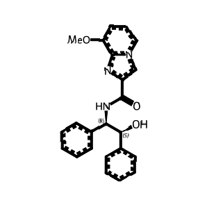 COc1cccn2cc(C(=O)N[C@H](c3ccccc3)[C@@H](O)c3ccccc3)nc12